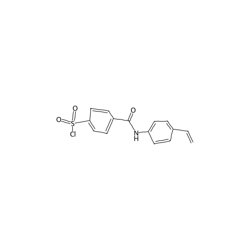 C=Cc1ccc(NC(=O)c2ccc(S(=O)(=O)Cl)cc2)cc1